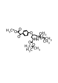 CCOC(=O)C(=O)c1ccc(OC(CNC(=O)OC(C)(C)C)CNC(=O)OC(C)(C)C)cc1